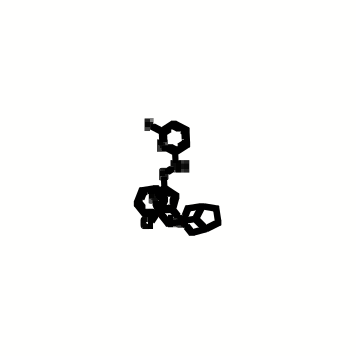 Fc1cccc(NSc2cc(NC3C4CCC3CN(Cc3ccccc3)C4)c(Cl)s2)n1